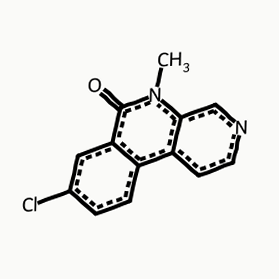 Cn1c(=O)c2cc(Cl)ccc2c2ccncc21